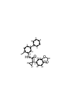 Cc1ccc(-c2ccccc2)cc1NC(=O)C1(c2ccc3c(c2)OCO3)CC1